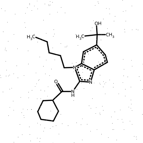 CCCCCn1c(NC(=O)C2CCCCC2)nc2ccc(C(C)(C)O)cc21